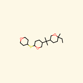 CCC1(C)CCC(C(C)(C)C2CCC(SC3CCOCC3)OC2)CO1